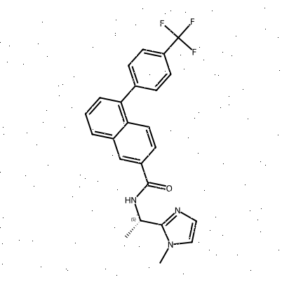 C[C@H](NC(=O)c1ccc2c(-c3ccc(C(F)(F)F)cc3)cccc2c1)c1nccn1C